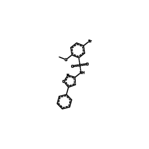 COc1ccc(Br)cc1S(=O)(=O)Nc1cc(-c2ccccc2)on1